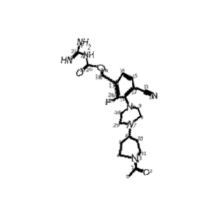 CC(=O)N1CCC(N2CCN(c3c(C#N)ccc(COC(=O)NC(=N)N)c3F)CC2)CC1